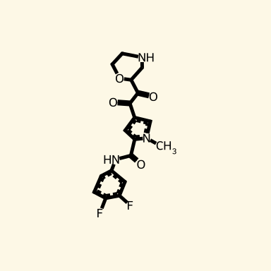 Cn1cc(C(=O)C(=O)C2CNCCO2)cc1C(=O)Nc1ccc(F)c(F)c1